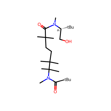 CN(C(=O)C(C)(C)CCC(C)(C)C(C)(C)N(C)C(=O)C(C)(C)C)[C@@H](CO)C(C)(C)C